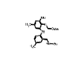 COCOc1c(Pc2ccc(C)cc2CNC(C)(C)C)cc(C)cc1C(C)(C)C